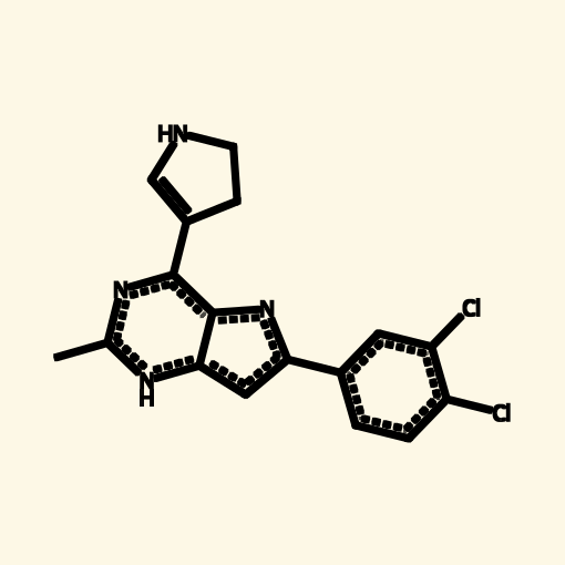 Cc1nc(C2=CNCC2)c2nc(-c3ccc(Cl)c(Cl)c3)cc-2[nH]1